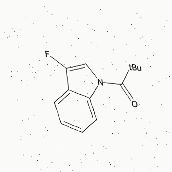 CC(C)(C)C(=O)n1cc(F)c2ccccc21